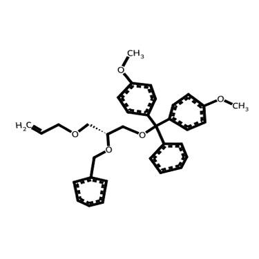 C=CCOC[C@H](COC(c1ccccc1)(c1ccc(OC)cc1)c1ccc(OC)cc1)OCc1ccccc1